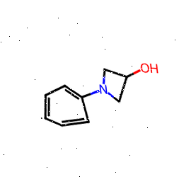 OC1CN(c2cc[c]cc2)C1